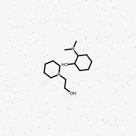 CN(C)C1CCCCC1O.OCCN1CCCCC1